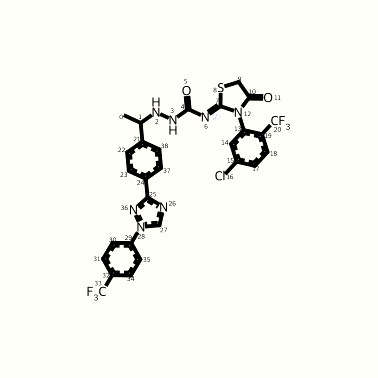 CC(NNC(=O)/N=C1\SCC(=O)N1c1cc(Cl)ccc1C(F)(F)F)c1ccc(-c2ncn(-c3ccc(C(F)(F)F)cc3)n2)cc1